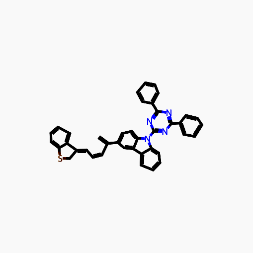 C=C(/C=C\C=C1/CSc2ccccc21)c1ccc2c(c1)c1ccccc1n2-c1nc(-c2ccccc2)nc(-c2ccccc2)n1